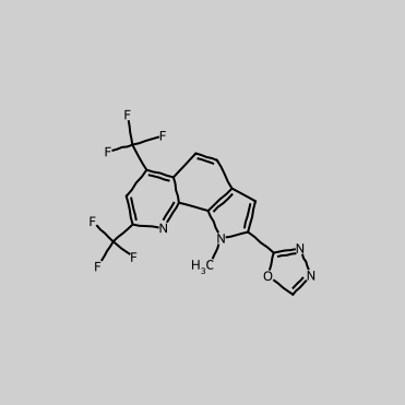 Cn1c(-c2nnco2)cc2ccc3c(C(F)(F)F)cc(C(F)(F)F)nc3c21